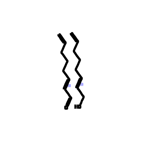 C=CCCC/C=C/C=O.C=CCCC/C=C/CO